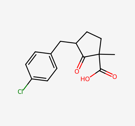 CC1(C(=O)O)CCC(Cc2ccc(Cl)cc2)C1=O